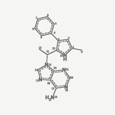 Cc1cc(-c2ccccc2)c(C(C)n2cnc3c(N)ncnc32)[nH]1